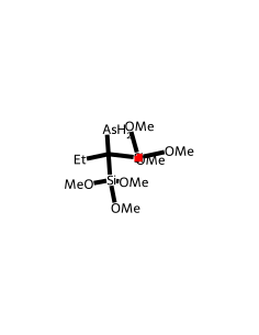 CCC([AsH2])([Si](OC)(OC)OC)[Si](OC)(OC)OC